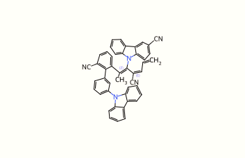 C=C/C=C(C#N)\C(=C(/C)c1cccc(C#N)c1-c1cccc(-n2c3ccccc3c3ccccc32)c1)n1c2ccccc2c2cc(C#N)ccc21